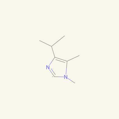 Cc1c(C(C)C)n[c]n1C